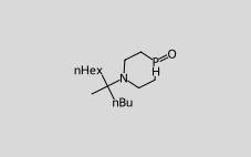 CCCCCCC(C)(CCCC)N1CC[PH](=O)CC1